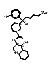 COCCCC[C@@](O)(c1cccc(Cl)c1)[C@@H]1CCCN(C(=O)N[C@H](CN)[C@H](O)C2CCCCC2)C1